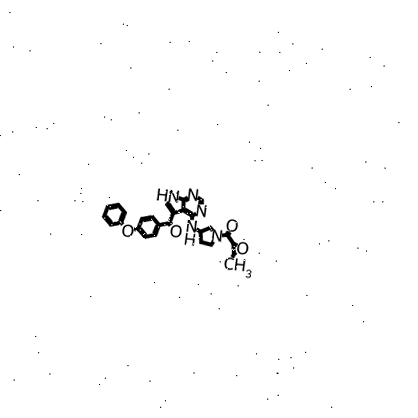 CC1OC1C(=O)N1CCC(Nc2ncnc3[nH]cc(C(=O)c4ccc(Oc5ccccc5)cc4)c23)C1